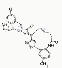 Cc1ccc2c(c1)-c1c[nH]c(n1)[C@@H](NC(=O)/C=C/c1cc(Cl)ccc1N(N)/C=N\N)C/C=C/CCC(=O)N2